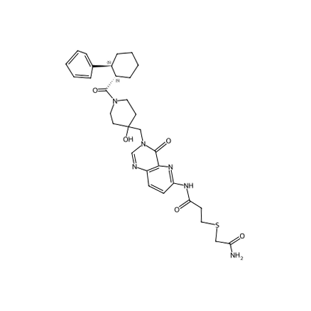 NC(=O)CSCCC(=O)Nc1ccc2ncn(CC3(O)CCN(C(=O)[C@H]4CCCC[C@@H]4c4ccccc4)CC3)c(=O)c2n1